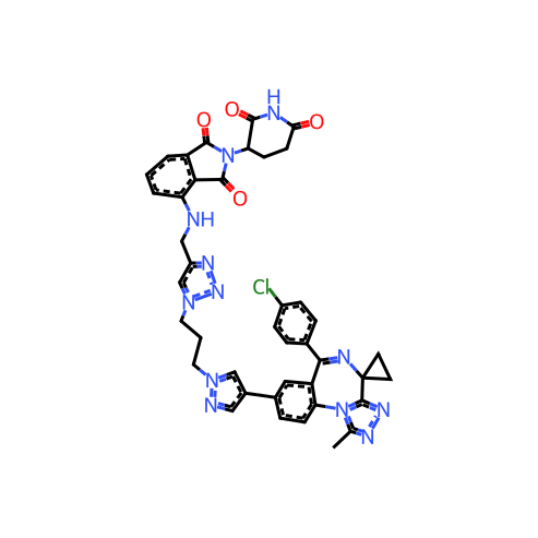 Cc1nnc2n1-c1ccc(-c3cnn(CCCn4cc(CNc5cccc6c5C(=O)N(C5CCC(=O)NC5=O)C6=O)nn4)c3)cc1C(c1ccc(Cl)cc1)=NC21CC1